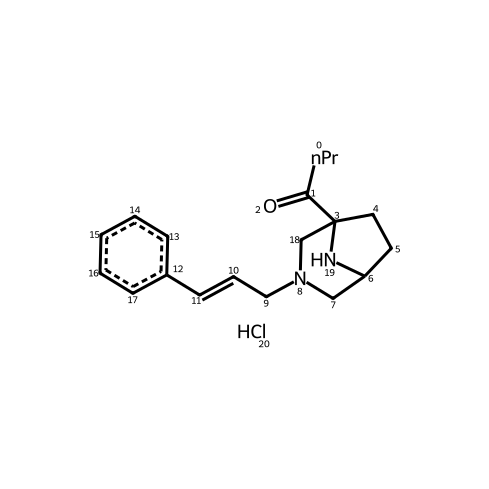 CCCC(=O)C12CCC(CN(CC=Cc3ccccc3)C1)N2.Cl